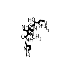 Cn1c(C(=O)NCc2cc[nH]n2)c(C=N)c2sc([C@H](O)C(=N)/C=C\N)nc21